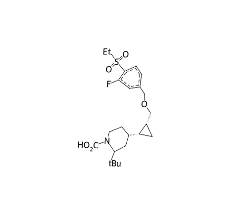 CCS(=O)(=O)c1ccc(COC[C@@H]2C[C@@H]2C2CCN(C(=O)O)C(C(C)(C)C)C2)cc1F